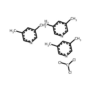 Cc1cncc(C)c1.Cc1cncc(C)c1.Cc1cncc(C)c1.[Cl][Cr]([Cl])[Cl]